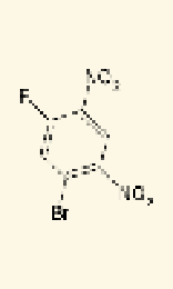 O=[N+]([O-])c1cc([N+](=O)[O-])c(Br)cc1F